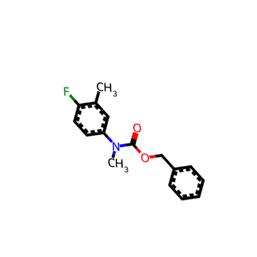 Cc1cc(N(C)C(=O)OCc2ccccc2)ccc1F